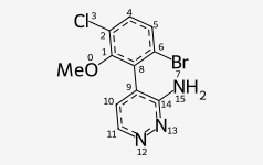 COc1c(Cl)ccc(Br)c1-c1ccnnc1N